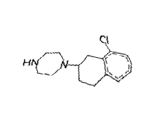 Clc1cccc2c1CC(N1CCNCC1)CC2